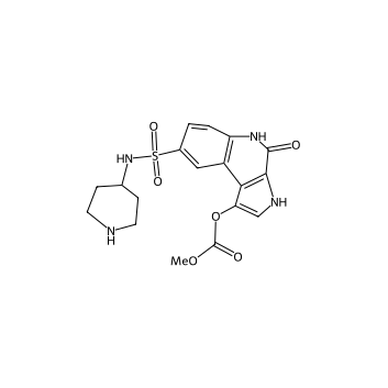 COC(=O)Oc1c[nH]c2c(=O)[nH]c3ccc(S(=O)(=O)NC4CCNCC4)cc3c12